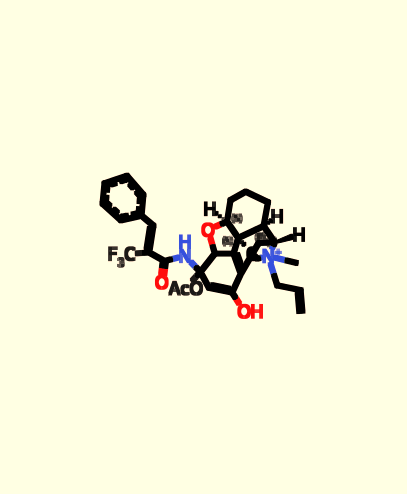 C=CC[N+]1(C)CC[C@@]23C4=C5C[C@@H]1[C@@H]2CCC[C@@H]3OC4C(NC(=O)C(=Cc1ccccc1)C(F)(F)F)(OC(C)=O)C=C5O